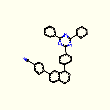 N#Cc1ccc(-c2ccc3cccc(-c4ccc(-c5nc(-c6ccccc6)nc(-c6ccccc6)n5)cc4)c3c2)cc1